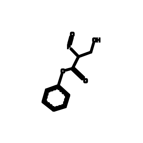 O=PC(CO)C(=O)Oc1ccccc1